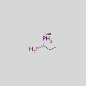 C=C.CCC(P)P